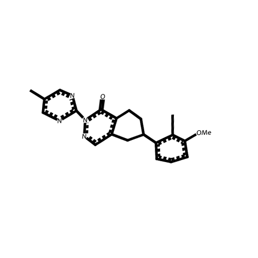 COc1cccc(C2CCc3c(cnn(-c4ncc(C)cn4)c3=O)C2)c1C